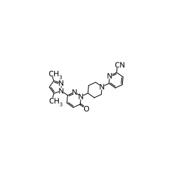 Cc1cc(C)n(-c2ccc(=O)n(C3CCN(c4cccc(C#N)n4)CC3)n2)n1